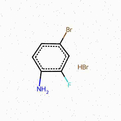 Br.Nc1ccc(Br)cc1F